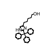 OCCCCCc1c[nH]c(C(c2ccccc2)(c2ccccc2)c2ccccc2)n1